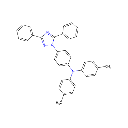 Cc1ccc(N(c2ccc(C)cc2)c2ccc(-n3nc(-c4ccccc4)nc3-c3ccccc3)cc2)cc1